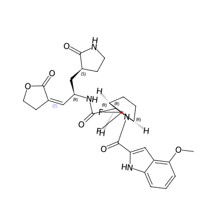 COc1cccc2[nH]c(C(=O)N3[C@@H]4CC[C@H]([C@@H]3C(=O)N[C@@H](/C=C3/CCOC3=O)C[C@@H]3CCNC3=O)C(F)(F)C4)cc12